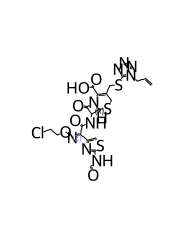 C=CCn1nnnc1SCC1=C(C(=O)O)N2C(=O)C(NC(=O)/C(=N\OCCCl)c3csc(NC=O)n3)[C@H]2SC1